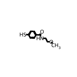 COCCNC(=O)c1ccc(S)cc1